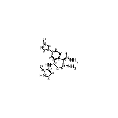 C/C(N)=C1\c2ccc(C3C=NN(C)C3)cc2C(NC2=CCNN2C)CCN1N